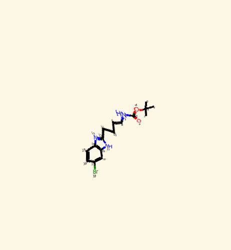 CC(C)(C)OC(=O)NCCCCc1nc2ccc(Br)cc2[nH]1